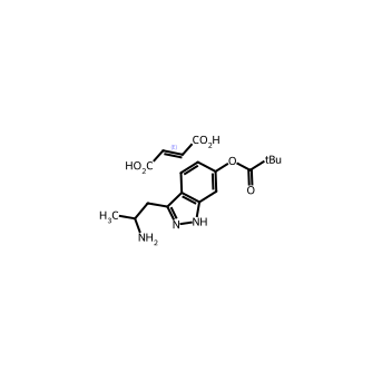 CC(N)Cc1n[nH]c2cc(OC(=O)C(C)(C)C)ccc12.O=C(O)/C=C/C(=O)O